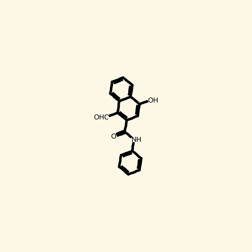 O=Cc1c(C(=O)Nc2ccccc2)cc(O)c2ccccc12